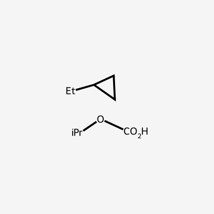 CC(C)OC(=O)O.CCC1CC1